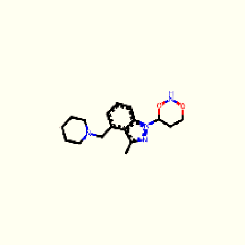 Cc1nn(C2CCONO2)c2cccc(CN3CC[CH]CC3)c12